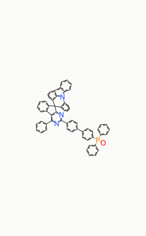 O=P(c1ccccc1)(c1ccccc1)c1ccc(-c2ccc(-c3nc(-c4ccccc4)c4c(n3)C3(c5ccccc5-4)c4ccccc4-n4c5ccccc5c5cccc3c54)cc2)cc1